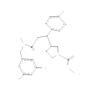 CN(Cc1cc(C(F)(F)F)cc(C(F)(F)F)c1)C(=O)CC(c1ccc(F)cc1)C1CCN(C(=O)OC(C)(C)C)C1